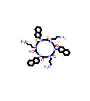 NCCCN1CC(=O)N(c2ccc3ccccc3c2)CC(=O)N(CCCN)CC(=O)N(c2ccc3ccccc3c2)CC(O)N(CCCN)CC(=O)N(c2ccc3ccccc3c2)CC1=O